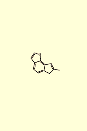 CC1=Cc2c(ccc3ccsc23)C1